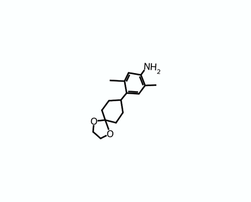 Cc1cc(C2CCC3(CC2)OCCO3)c(C)cc1N